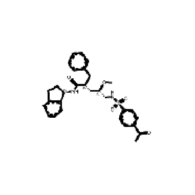 CO[C@H](CNS(=O)(=O)c1ccc(C(C)=O)cc1)C[C@@H](Cc1ccccc1)C(=O)N[C@@H]1CCc2ccccc21